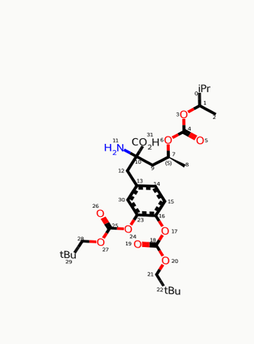 CC(C)C(C)OC(=O)O[C@@H](C)CC(N)(Cc1ccc(OC(=O)OCC(C)(C)C)c(OC(=O)OCC(C)(C)C)c1)C(=O)O